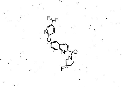 O=C(c1ccc2cc(Oc3ccc(C(F)F)cn3)ccc2n1)N1CC[C@H](F)C1